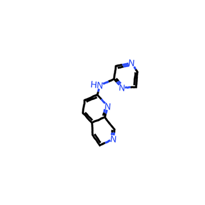 c1cnc(Nc2ccc3ccncc3n2)cn1